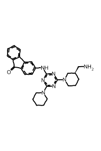 NC[C@H]1CCCN(c2nc(Nc3ccc4c(c3)-c3ccccc3C4=O)nc(N3CCCCC3)n2)C1